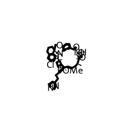 CO[C@@]1(C#CCCc2ccncn2)/C=C/C[C@H](C)[C@@H](C)S(=O)(=O)NC(=O)c2ccc3c(c2)N(C[C@@H]2CC[C@H]21)C[C@@]1(CCCc2cc(Cl)ccc21)CO3